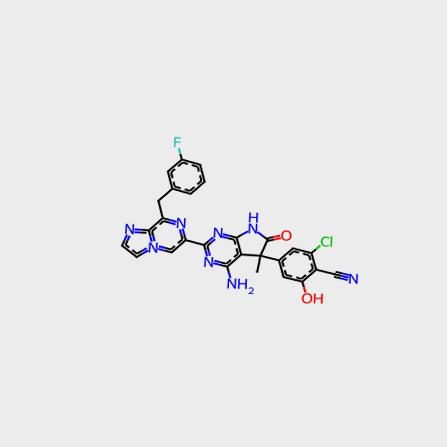 CC1(c2cc(O)c(C#N)c(Cl)c2)C(=O)Nc2nc(-c3cn4ccnc4c(Cc4cccc(F)c4)n3)nc(N)c21